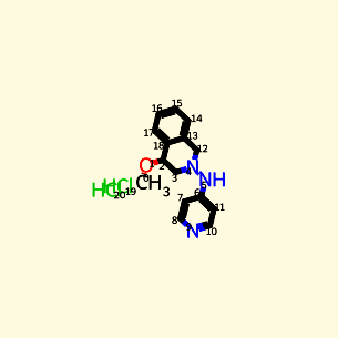 COC1CN(Nc2ccncc2)Cc2ccccc21.Cl.Cl